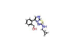 OCc1ccccc1-c1cnc2sc(NCC3CC3)nn12